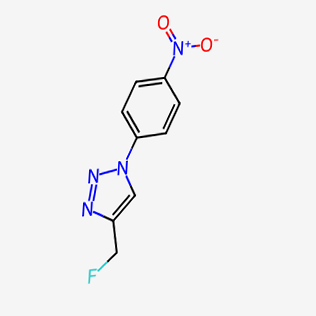 O=[N+]([O-])c1ccc(-n2cc(CF)nn2)cc1